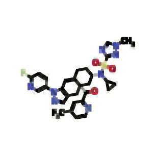 Cn1cnc(S(=O)(=O)N(C2CC2)[C@H]2CCC3=Cc4c(cnn4-c4ccc(F)nc4)C[C@]3(C(=O)c3cc(C(F)(F)F)ccn3)C2)n1